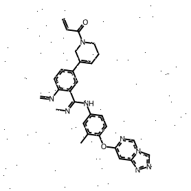 C=CC(=O)N1CCC=C(c2ccc(N=C)c(/C(=N\C)Nc3ccc(Oc4cc5nncn5cn4)c(C)c3)c2)C1